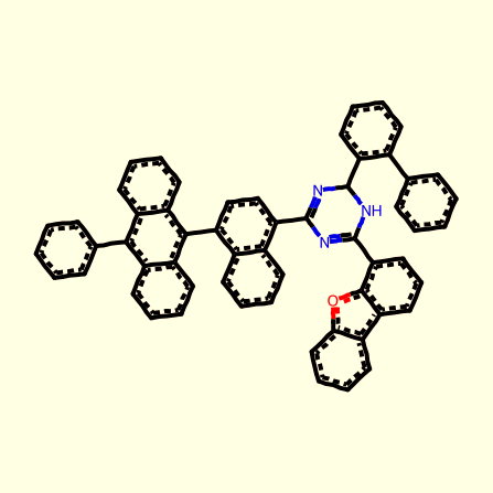 c1ccc(-c2ccccc2C2N=C(c3ccc(-c4c5ccccc5c(-c5ccccc5)c5ccccc45)c4ccccc34)N=C(c3cccc4c3oc3ccccc34)N2)cc1